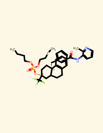 CCCCOP(=O)(OCCCC)O[C@]1(C(F)(F)F)CC[C@@]2(Cc3ccccc3)c3ccc(C(=O)Nc4cccnc4C)cc3CCC2C1